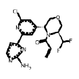 C=CC(=O)N1[C@H](c2cc(Cl)nc(-c3ccnc(N)n3)c2)COC[C@H]1C(F)F